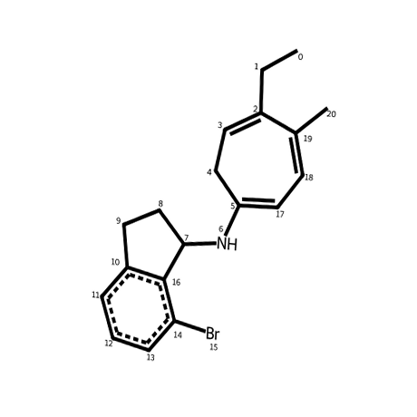 CCC1=CCC(NC2CCc3cccc(Br)c32)=CC=C1C